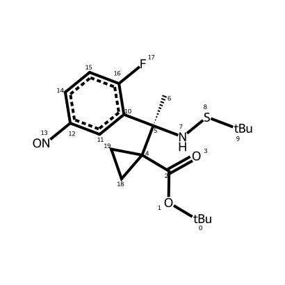 CC(C)(C)OC(=O)C1([C@](C)(NSC(C)(C)C)c2cc(N=O)ccc2F)CC1